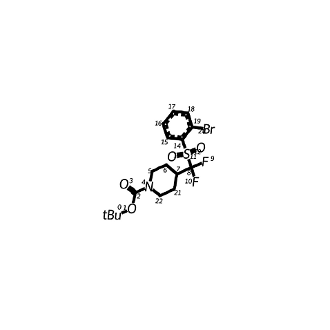 CC(C)(C)OC(=O)N1CCC(C(F)(F)S(=O)(=O)c2ccccc2Br)CC1